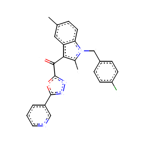 Cc1ccc2c(c1)c(C(=O)c1nnc(-c3cccnc3)o1)c(C(F)(F)F)n2Cc1ccc(Cl)cc1